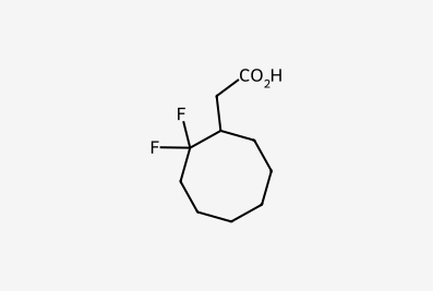 O=C(O)CC1CCCCCCC1(F)F